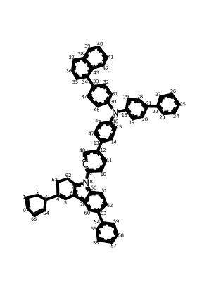 C1=CCC(C2=Cc3c(n(-c4ccc(-c5ccc(N(c6ccc(-c7ccccc7)cc6)c6ccc(-c7cccc8ccccc78)cc6)cc5)cc4)c4ccc(-c5ccccc5)cc34)CC2)C=C1